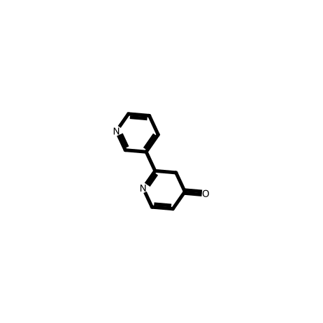 O=C1C=CN=C(c2cccnc2)C1